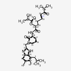 CC(C)Cc1c(F)c(F)cc2nc(Cn3cccc(NC(=O)[C@H](CC/C=C/C(=O)N(C)C)OC(=O)N(C)C)c3=O)[nH]c12